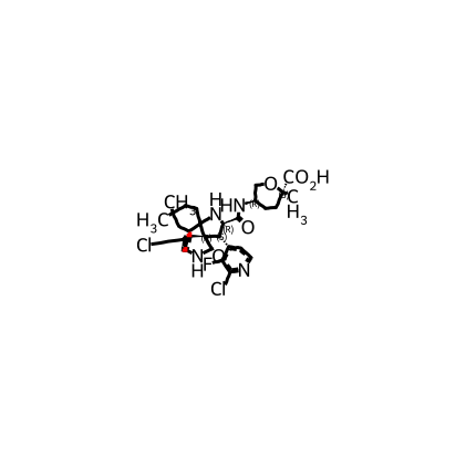 CC1(C)CCC2(CC1)N[C@@H](C(=O)N[C@@H]1CC[C@@](C)(C(=O)O)OC1)[C@H](c1ccnc(Cl)c1F)[C@]21C(=O)Nc2cc(Cl)ccc21